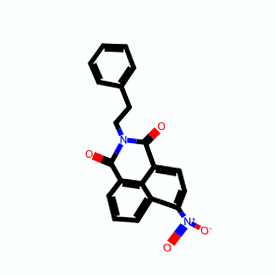 O=C1c2cccc3c([N+](=O)[O-])ccc(c23)C(=O)N1CCc1ccccc1